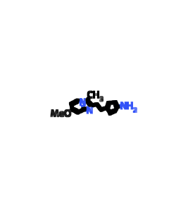 COc1ccn2c(C)c(CCc3ccc(N)cc3)nc2c1